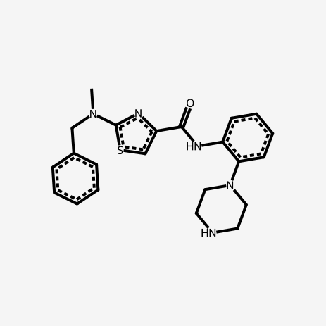 CN(Cc1ccccc1)c1nc(C(=O)Nc2ccccc2N2CCNCC2)cs1